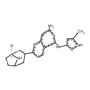 Cc1cc(Nc2nc(N)cc3nc(C4CC5CC[C@@H](C4)N5)ccc23)n[nH]1